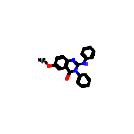 COc1ccc2nc(Nc3ccccc3)n(-c3ccccc3)c(=O)c2c1